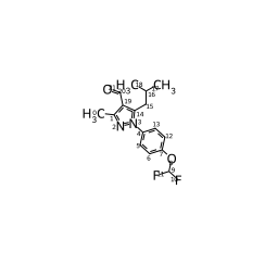 Cc1nn(-c2ccc(OC(F)F)cc2)c(CC(C)C)c1C=O